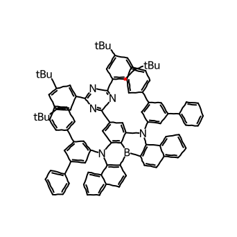 CC(C)(C)c1cc(-c2nc(-c3cc(C(C)(C)C)cc(C(C)(C)C)c3)nc(-c3cc4c5c(c3)N(c3cc(-c6ccccc6)cc(-c6ccccc6)c3)c3c(ccc6ccccc36)B5c3ccc5ccccc5c3N4c3cc(-c4ccccc4)cc(-c4ccccc4)c3)n2)cc(C(C)(C)C)c1